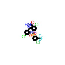 O=c1[nH]nc(-c2ccc(Cl)cc2NS(=O)(=O)c2ccc(Cl)c(C(F)(F)F)c2)c2cccc(Cl)c12